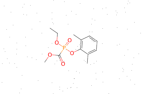 CCOP(=O)(Oc1c(C)cccc1C)C(=O)OC